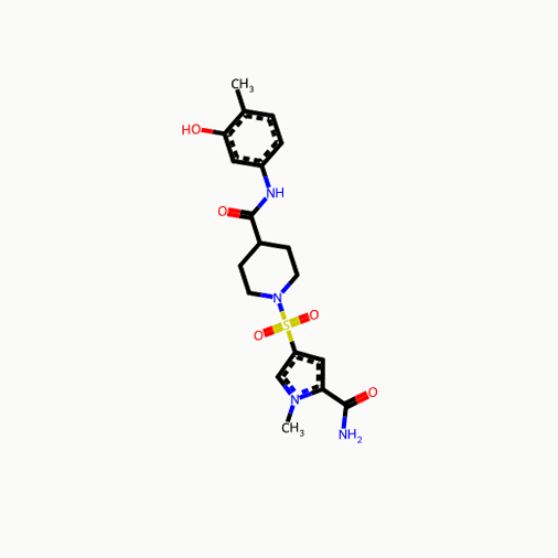 Cc1ccc(NC(=O)C2CCN(S(=O)(=O)c3cc(C(N)=O)n(C)c3)CC2)cc1O